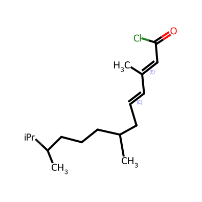 CC(/C=C/CC(C)CCCC(C)C(C)C)=C\C(=O)Cl